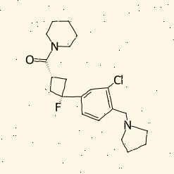 O=C([C@H]1C[C@](F)(c2ccc(CN3CCCC3)c(Cl)c2)C1)N1CCCCC1